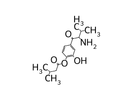 CC(C)CC(=O)Oc1ccc(C(=O)C(N)C(C)C)cc1O